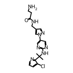 CC(C)(Nc1ncc(-n2cc(CNC(=O)CCN)cn2)cn1)c1ncccc1Cl